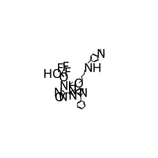 CCn1c(-c2nonc2N)nc2c(-c3ccccc3)ncc(OCCCCNCc3ccc(N(C)C)cc3)c21.O=C(O)C(F)(F)F